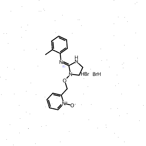 Br.Br.Cc1ccccc1/N=C1\NCCN1OCc1cccc[n+]1[O-]